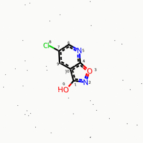 Oc1noc2ncc(Cl)cc12